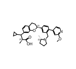 COc1cc(-c2ccc([C@@H]3CCc4ccc(C(C5CC5)[C@H](C)C(=O)O)cc4O3)cc2CN2CCC[C@@H]2C)ccn1